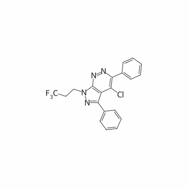 FC(F)(F)CCn1nc(-c2ccccc2)c2c(Cl)c(-c3ccccc3)nnc21